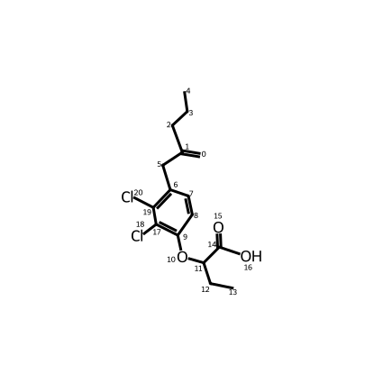 C=C(CCC)Cc1ccc(OC(CC)C(=O)O)c(Cl)c1Cl